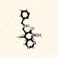 O=c1c(CNCc2ccccc2)c(I)c2cncnc2n1O